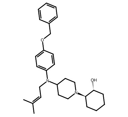 CC(C)=CCN(c1ccc(OCc2ccccc2)cc1)C1CCN([C@@H]2CCCC[C@H]2O)CC1